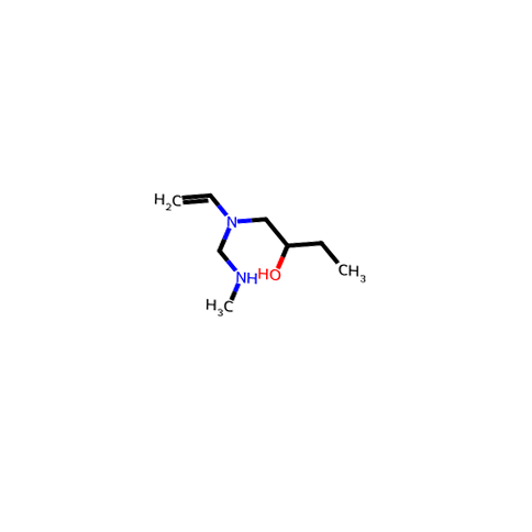 C=CN(CNC)CC(O)CC